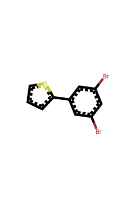 Brc1cc(Br)cc(-c2cccs2)c1